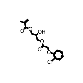 C=C(C)C(=O)OCC(O)COC(=O)COc1ccccc1Cl